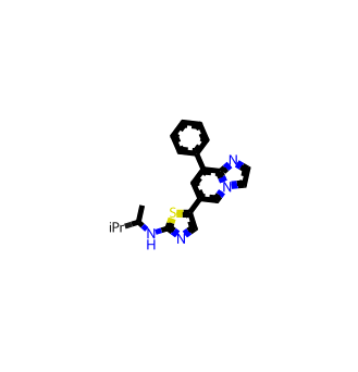 CC(C)C(C)Nc1ncc(-c2cc(-c3ccccc3)c3nccn3c2)s1